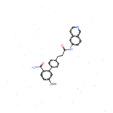 COc1ccc(C(N)=O)c(-c2ccc(CCC(=O)Nc3ccc4cnccc4c3)cc2)c1